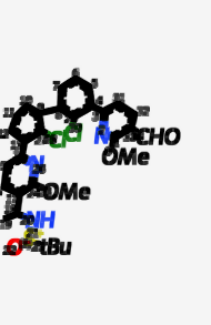 COc1nc(-c2cccc(-c3cccc(-c4ccc(C(C)N[S@+]([O-])C(C)(C)C)c(OC)n4)c3Cl)c2Cl)ccc1C=O